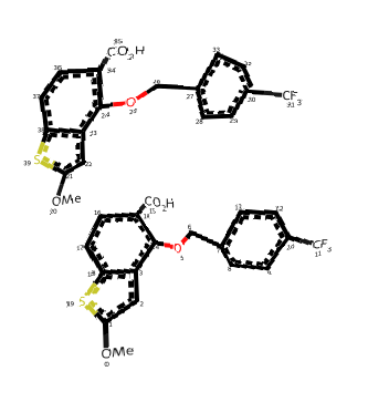 COc1cc2c(OCc3ccc(C(F)(F)F)cc3)c(C(=O)O)ccc2s1.COc1cc2c(OCc3ccc(C(F)(F)F)cc3)c(C(=O)O)ccc2s1